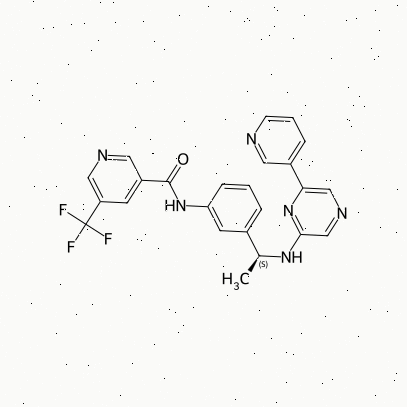 C[C@H](Nc1cncc(-c2cccnc2)n1)c1cccc(NC(=O)c2cncc(C(F)(F)F)c2)c1